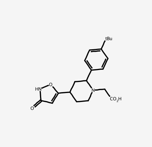 CC(C)(C)c1ccc(C2CC(c3cc(=O)[nH]o3)CCN2CC(=O)O)cc1